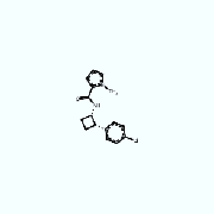 Cn1cccc1C(=O)N[C@H]1CC[C@H]1c1ccc(Cl)cc1